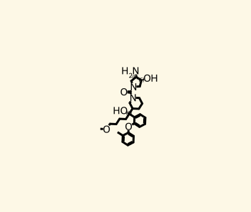 COCCCC[C@@](O)(c1ccccc1Oc1ccccc1C)C1CCCN(C(=O)N2C[C@@H](N)[C@@H](O)C2)C1